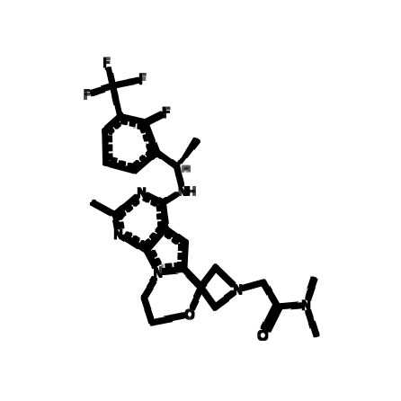 Cc1nc(N[C@H](C)c2cccc(C(F)(F)F)c2F)c2cc3n(c2n1)CCOC31CN(CC(=O)N(C)C)C1